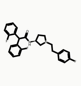 O=C(N[C@H]1CCN(CCc2ccc(F)cc2)C1)C(c1ccccc1F)c1ccccc1F